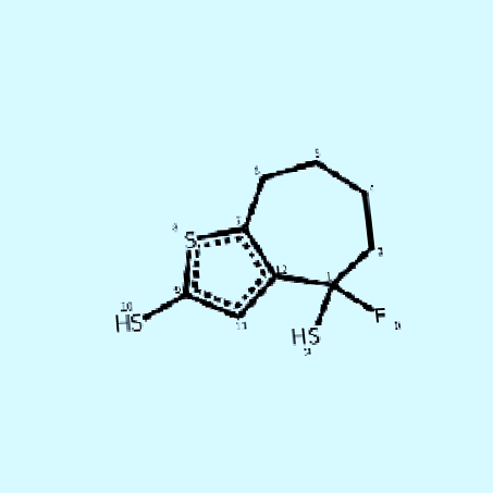 FC1(S)CCCCc2sc(S)cc21